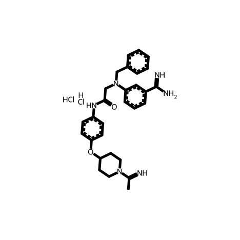 CC(=N)N1CCC(Oc2ccc(NC(=O)CN(Cc3ccccc3)c3cccc(C(=N)N)c3)cc2)CC1.Cl.Cl